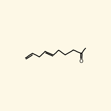 C=CCC=CCCCC(C)=O